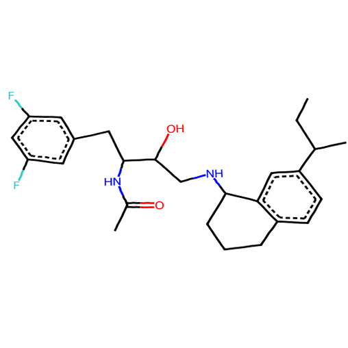 CCC(C)c1ccc2c(c1)C(NCC(O)C(Cc1cc(F)cc(F)c1)NC(C)=O)CCC2